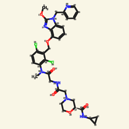 COc1nc2c(OCc3c(Cl)ccc(N(C)C(=O)CNC(=O)CN4CCO[C@@H](C(=O)NC5CC5)C4)c3Cl)cccc2n1Cc1ccccn1